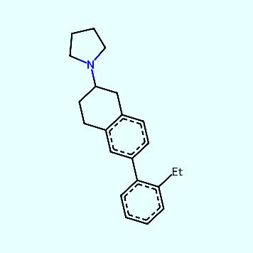 CCc1ccccc1-c1ccc2c(c1)CCC(N1CCCC1)C2